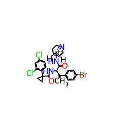 C[C@H](c1ccc(Br)cc1)C(NC(=O)C1(c2ccc(Cl)cc2Cl)CC1)C(=O)N[C@@H]1C[N@]2CC[C@H]1CC2